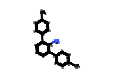 Cc1ccc(-c2cccc(-c3ccc(C)cc3)c2N)cc1